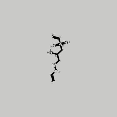 C=COSCC(O)CS(=O)(=O)C=C